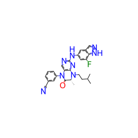 CC(C)CCN1c2nc(Nc3cc(F)c4[nH]ncc4c3)ncc2N(c2cccc(C#N)c2)C(=O)[C@H]1C